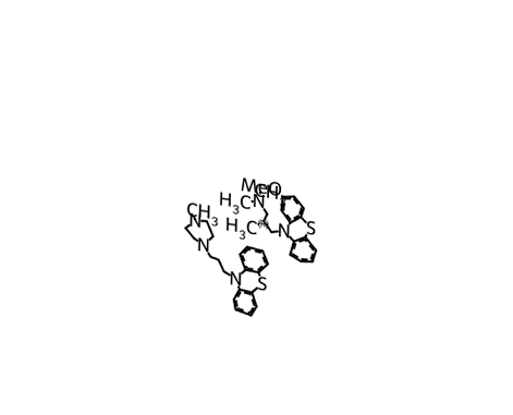 CN1CCN(CCCN2c3ccccc3Sc3ccccc32)CC1.COc1ccc2c(c1)N(C[C@H](C)CN(C)C)c1ccccc1S2